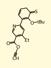 C#COC(=O)c1cnc(C2=C(OC(C)(C)C)C(=S)CC=C2)cc1CC